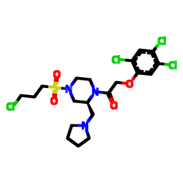 O=C(COc1cc(Cl)c(Cl)cc1Cl)N1CCN(S(=O)(=O)CCCCl)C[C@@H]1CN1CCCC1